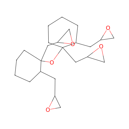 C1CCC(CC2CO2)(OC2(CC3CO3)CCCCC2CC2CO2)C(CC2CO2)C1